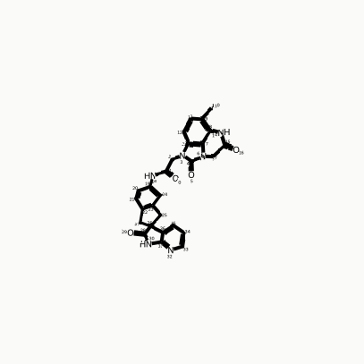 O=C(Cn1c(=O)n2c3c(c(I)ccc31)NC(=O)C2)Nc1ccc2c(c1)CC1(C2)C(=O)Nc2ncccc21